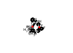 CCC(=O)Cn1c(NC2CCN(CCC3(c4ccc(F)c(F)c4)CCN(C(=O)c4cc(OC)c(OC)c(OC)c4)C3)CC2)nc2ccccc21